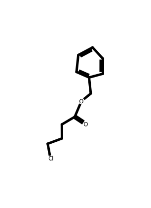 O=C(CCCCl)OCc1ccccc1